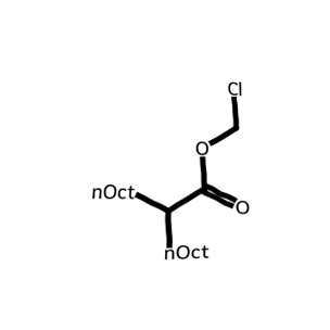 CCCCCCCCC(CCCCCCCC)C(=O)OCCl